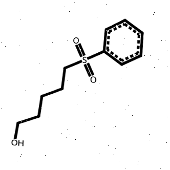 O=S(=O)(CCCCCO)c1ccccc1